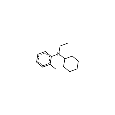 CCN(c1ccccc1C)C1CCCCC1